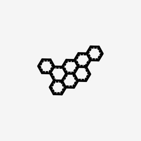 c1ccc2c(c1)cc1cc3c4ccccc4c4cccc5cc6ccc2c1c6c3c54